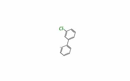 Clc1cccc(-c2[c]cccc2)c1